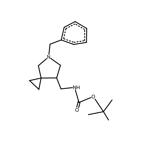 CC(C)(C)OC(=O)NCC1CN(Cc2ccccc2)CC12CC2